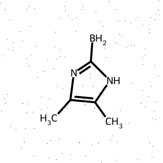 Bc1nc(C)c(C)[nH]1